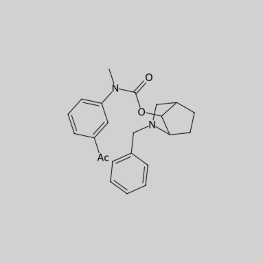 CC(=O)c1cccc(N(C)C(=O)OC2C3CCC2N(Cc2ccccc2)C3)c1